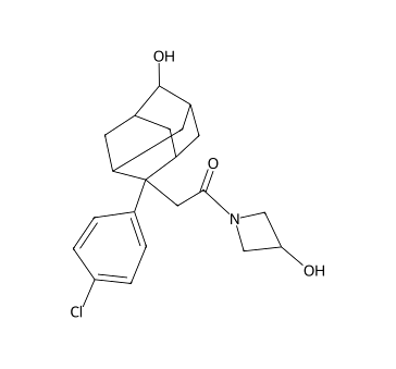 O=C(CC1(c2ccc(Cl)cc2)C2CC3CC1CC(C2)C3O)N1CC(O)C1